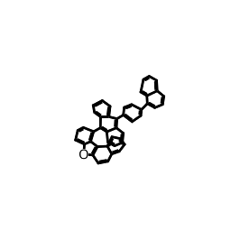 c1ccc2c(-c3ccc(-c4c5ccccc5c(-c5cccc6oc7ccc8ccccc8c7c56)c5ccccc45)cc3)cccc2c1